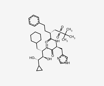 CC(C)(C)S(=O)(=O)C[C@@H](CCc1ccccc1)C(=O)N[C@@H](Cc1c[nH]cn1)C(=O)N[C@@H](CC1CCCCC1)[C@@H](O)[C@@H](O)C1CC1